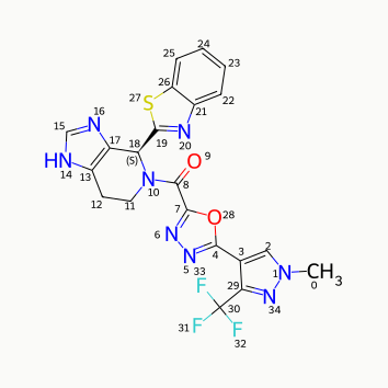 Cn1cc(-c2nnc(C(=O)N3CCc4[nH]cnc4[C@H]3c3nc4ccccc4s3)o2)c(C(F)(F)F)n1